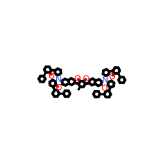 Cc1cc2c3cc4ccc(N(c5cccc6c5oc5c(-c7ccccc7)cccc56)c5cccc6c5oc5c(-c7ccccc7)cccc56)cc4cc3oc2c2oc3cc4cc(N(c5cccc6c5oc5c(-c7ccccc7)cccc56)c5cccc6c5oc5c(-c7ccccc7)cccc56)ccc4cc3c12